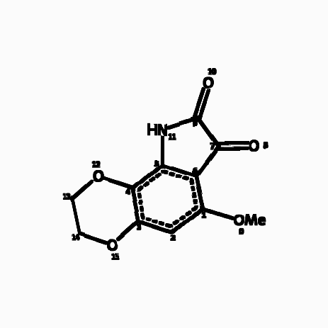 COc1cc2c(c3c1C(=O)C(=O)N3)OCCO2